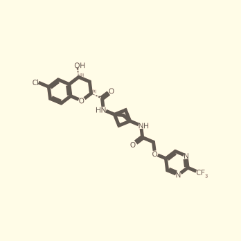 O=C(COc1cnc(C(F)(F)F)nc1)NC12CC(NC(=O)[C@H]3C[C@@H](O)c4cc(Cl)ccc4O3)(C1)C2